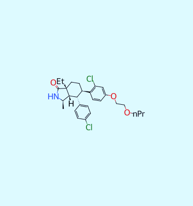 CCCOCCOc1ccc([C@@H]2CC[C@@]3(CC)C(=O)N[C@H](C)[C@H]3[C@H]2c2ccc(Cl)cc2)c(Cl)c1